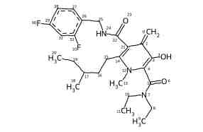 C=C1C(O)=C(C(=O)N(CC)CC)N(C)C(CCC(C)CC)=C1C(=O)NCc1ccc(F)cc1F